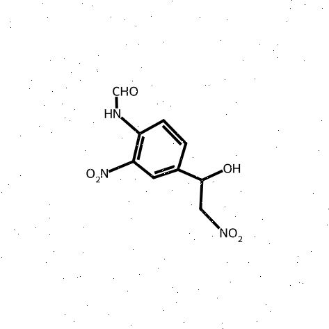 O=CNc1ccc(C(O)C[N+](=O)[O-])cc1[N+](=O)[O-]